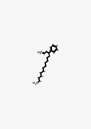 C=C[CH]C(CCCCCCCCCCCC)c1ccccc1